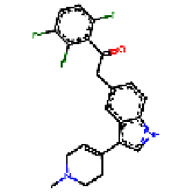 CN1CC=C(c2c[nH]c3ccc(CC(=O)c4c(F)ccc(F)c4F)cc23)CC1